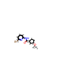 CO[C@H]1CC[C@H](C(=O)Nc2cccc(Br)n2)C1